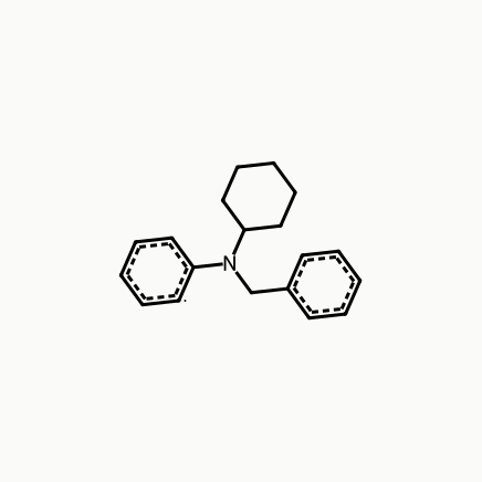 [c]1ccccc1N(Cc1ccccc1)C1CCCCC1